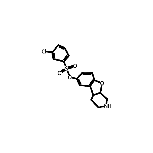 O=S(=O)(Oc1ccc2c(c1)C1CCNCC1O2)c1cccc(Cl)c1